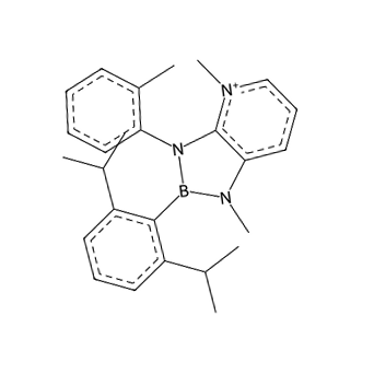 Cc1ccccc1N1B(c2c(C(C)C)cccc2C(C)C)N(C)c2ccc[n+](C)c21